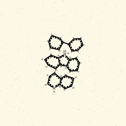 c1ccc(-c2ccccc2)cc1.c1ccc2c(c1)[nH]c1ccccc12.c1ccc2ncccc2c1